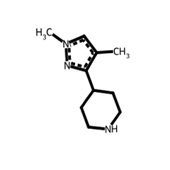 Cc1cn(C)nc1C1CCNCC1